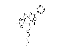 CCCCOC[C@H]1OC(C)(OC(C)=O)[C@@H]2OC(c3ccccc3)O[C@@H]21